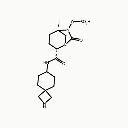 O=C(NC1CCC2(CC1)CNC2)[C@@H]1CC[C@@H]2CN1C(=O)N2OS(=O)(=O)O